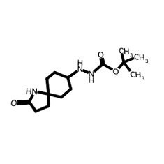 CC(C)(C)OC(=O)NNC1CCC2(CCC(=O)N2)CC1